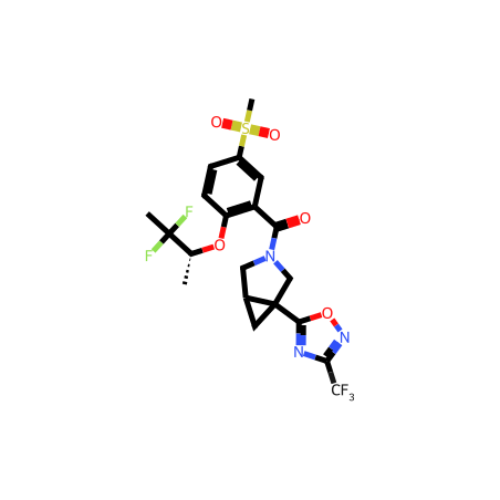 C[C@@H](Oc1ccc(S(C)(=O)=O)cc1C(=O)N1CC2CC2(c2nc(C(F)(F)F)no2)C1)C(C)(F)F